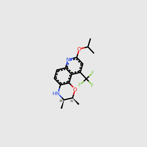 CC(C)Oc1cc(C(F)(F)F)c2c3c(ccc2n1)N[C@H](C)[C@H](C)O3